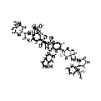 Cc1nc2[nH]ccc2cc1Oc1cc(N2CCC3(CC2)CC(N2CCC[C@@H]2c2ccccc2C(C)C)C3)ccc1C(=O)NS(=O)(=O)c1cc2c(c([N+](=O)[O-])c1)N[C@@H](C1CCC(C)(O)CC1)CO2